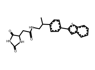 CC(CNC(=O)CC1NC(=O)NC1=O)c1ccc(-c2cc3ccccc3s2)cc1